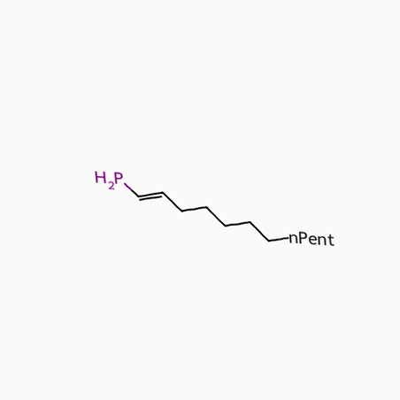 CCCCCCCCCCC=CP